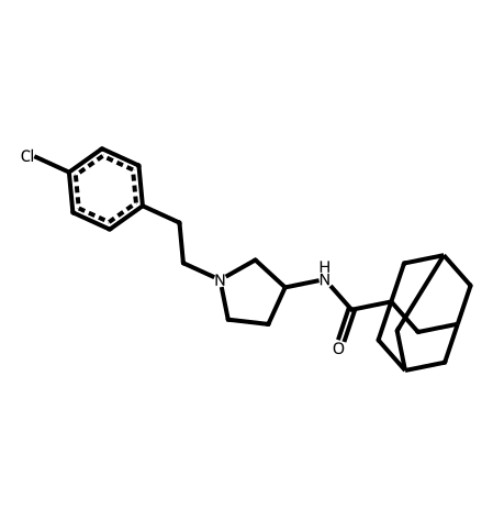 O=C(NC1CCN(CCc2ccc(Cl)cc2)C1)C12CC3CC(CC(C3)C1)C2